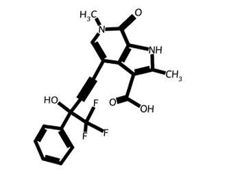 Cc1[nH]c2c(=O)n(C)cc(C#CC(O)(c3ccccc3)C(F)(F)F)c2c1C(=O)O